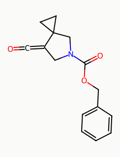 O=C=C1CN(C(=O)OCc2ccccc2)CC12CC2